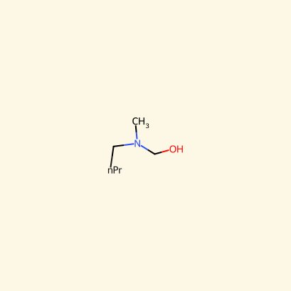 CCCCN(C)CO